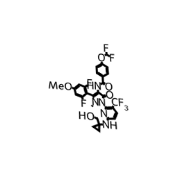 COc1cc(F)c(-c2c(NC(=O)c3ccc(OC(F)F)cc3)c(=O)n(-c3nc(NC4(CO)CC4)ccc3C(F)(F)F)n2C)c(F)c1